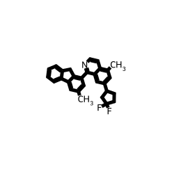 Cc1cc2c(c(-c3nccc4c(C)cc(C5CCC(F)(F)C5)cc34)c1)Cc1ccccc1-2